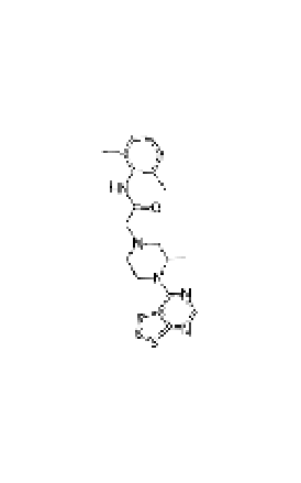 Cc1cccc(C)c1NC(=O)CN1CCN(c2ncnc3sccc23)C(C)C1